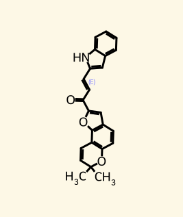 CC1(C)C=Cc2c(ccc3cc(C(=O)/C=C/c4cc5ccccc5[nH]4)oc23)O1